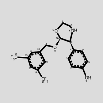 Oc1ccc([C@@H]2NCCO[C@@H]2OCc2cc(C(F)(F)F)cc(C(F)(F)F)c2)cc1